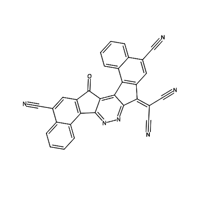 N#CC(C#N)=C1c2cc(C#N)c3ccccc3c2-c2c1nnc1c2C(=O)c2cc(C#N)c3ccccc3c2-1